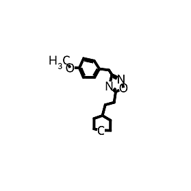 COc1ccc(Cc2noc(CCC3CC[CH]CC3)n2)cc1